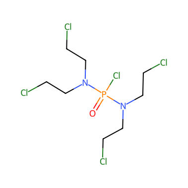 O=P(Cl)(N(CCCl)CCCl)N(CCCl)CCCl